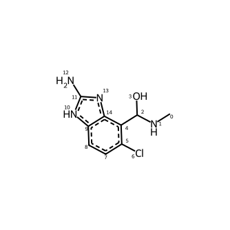 CNC(O)c1c(Cl)ccc2[nH]c(N)nc12